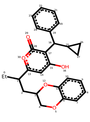 CCC(CC1COc2ccccc2O1)c1cc(O)c(C(c2ccccc2)C2CC2)c(=O)o1